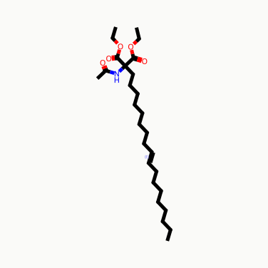 CCCCCCCC/C=C/CCCCCCCCC(NC(C)=O)(C(=O)OCC)C(=O)OCC